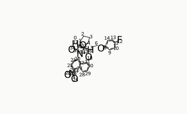 C[C@]12CC[C@](CCOc3ccc(F)cc3)(O1)[C@@H]1C(=O)N(c3ccc([N+](=O)[O-])c4ccccc34)C(=O)[C@@H]12